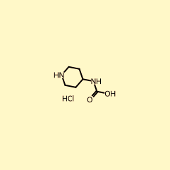 Cl.O=C(O)NC1CCNCC1